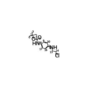 CC(C)(C)OC(=O)Nc1ccc(NCCCl)cc1